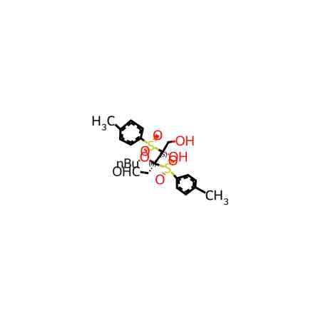 CCCCO[C@@](CC=O)([C@](O)(CO)S(=O)(=O)c1ccc(C)cc1)S(=O)(=O)c1ccc(C)cc1